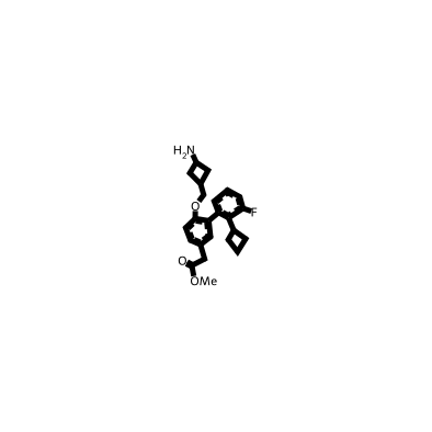 COC(=O)Cc1ccc(OCC2CC(N)C2)c(-c2cccc(F)c2C2CCC2)c1